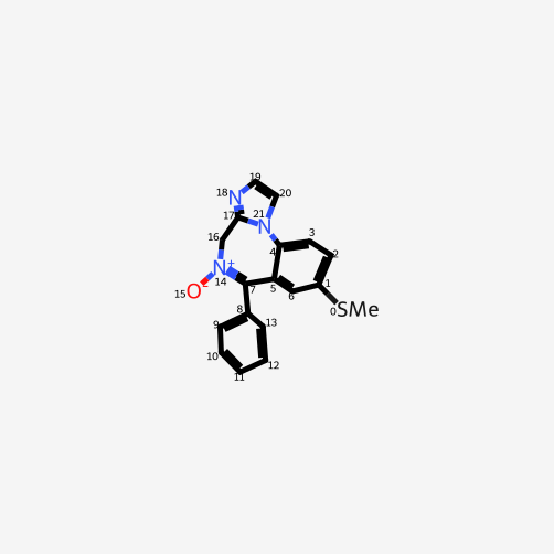 CSc1ccc2c(c1)C(c1ccccc1)=[N+]([O-])Cc1nccn1-2